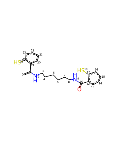 C=C(NCCCCCCNC(=O)c1ccccc1S)c1ccccc1S